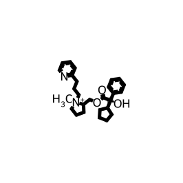 C[N+]1(CCCc2ccccn2)CCCC1COC(=O)[C@](O)(c1ccccc1)C1CCCC1